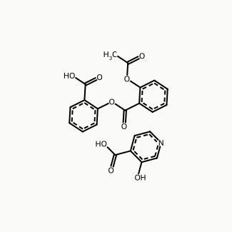 CC(=O)Oc1ccccc1C(=O)Oc1ccccc1C(=O)O.O=C(O)c1ccncc1O